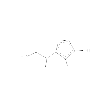 Cc1c(O)csc1C(O)CN